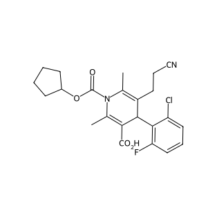 CC1=C(CCC#N)C(c2c(F)cccc2Cl)C(C(=O)O)=C(C)N1C(=O)OC1CCCC1